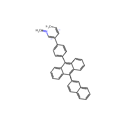 C=N/C=C(\C=C/C)c1ccc(-c2c3ccccc3c(-c3ccc4ccccc4c3)c3ccccc23)cc1